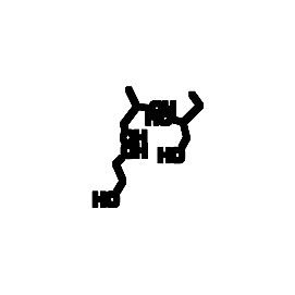 CC(O)CO.CCC(O)CO.OCCO